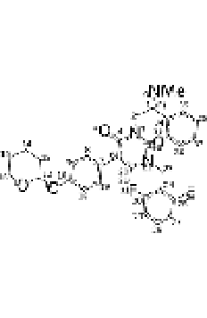 CN[C@@H](Cn1c(=O)c(-c2ccc(OC3CCCCO3)cc2)c(C)n(Cc2c(F)cccc2F)c1=O)c1ccccc1